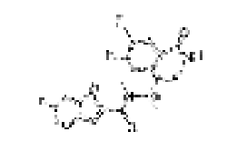 C[C@@H](c1c[nH]c(=O)c2cc(F)c(F)cc12)N(C)C(=O)c1cc2ccc(F)cc2[nH]1